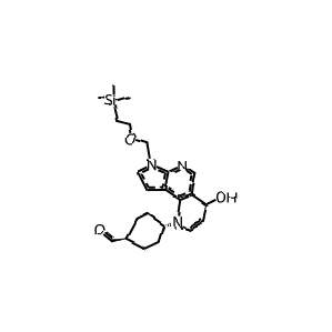 C[Si](C)(C)CCOCn1ccc2c3c(cnc21)C(O)C=CN3[C@H]1CC[C@H](C=O)CC1